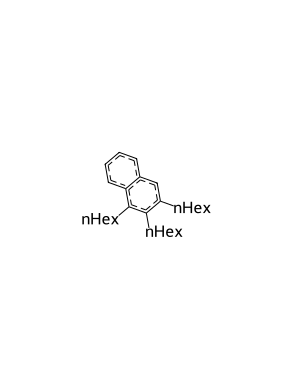 CCCCCCc1cc2ccccc2c(CCCCCC)c1CCCCCC